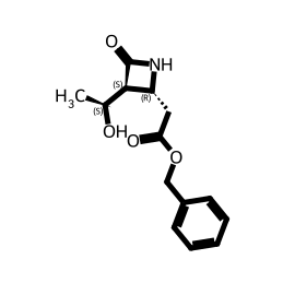 C[C@H](O)[C@H]1C(=O)N[C@@H]1CC(=O)OCc1ccccc1